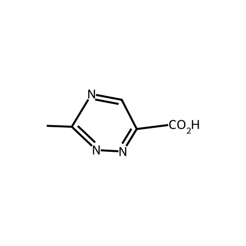 Cc1ncc(C(=O)O)nn1